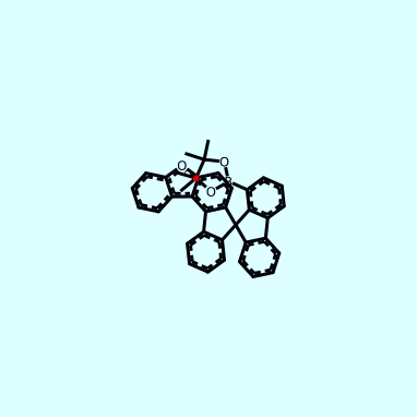 CC1(C)OB(c2cccc3c2C2(c4ccccc4-3)c3ccccc3-c3c2ccc2oc4ccccc4c32)OC1(C)C